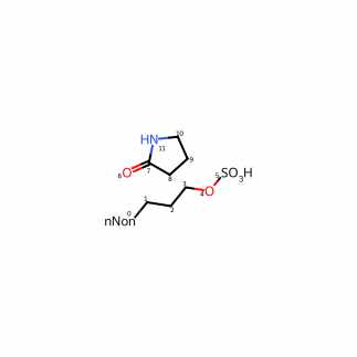 CCCCCCCCCCCCOS(=O)(=O)O.O=C1CCCN1